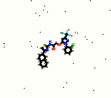 O=C(COc1cc(C(F)(F)F)nn1-c1ccccc1Cl)Nc1nc(-c2ccc3ccccc3c2)cs1